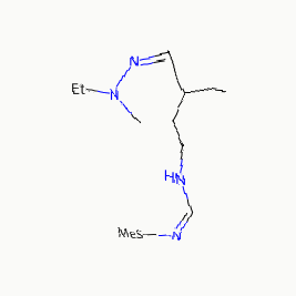 CCN(C)/N=C\C(C)CCN/C=N\SC